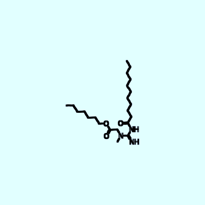 CCCCCCCCCCC(=O)NC(=N)N(C)CC(=O)OCCCCCCC